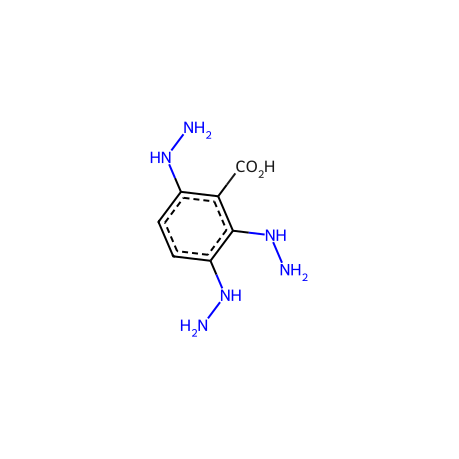 NNc1ccc(NN)c(C(=O)O)c1NN